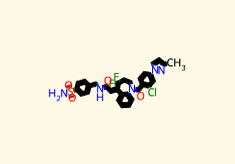 Cc1ccn(-c2ccc(C(=O)N3CCC(F)(F)/C(=C\C(=O)NCc4ccc(S(N)(=O)=O)cc4)c4ccccc43)c(Cl)c2)n1